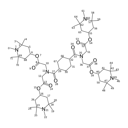 CN1C(C)(C)CC(OC(=O)CN(CC(=O)OC2CC(C)(C)N(C)C(C)(C)C2)C(=O)C2CCC(C(=O)N(CC(=O)OC3CC(C)(C)N(C)C(C)(C)C3)CC(=O)OC3CC(C)(C)N(C)C(C)(C)C3)CC2)CC1(C)C